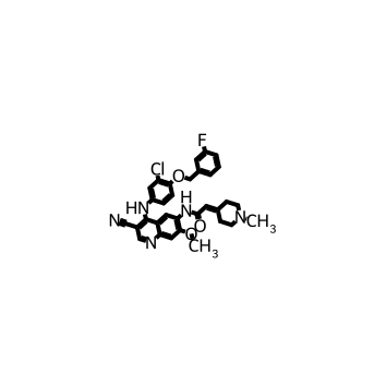 COc1cc2ncc(C#N)c(Nc3ccc(OCc4cccc(F)c4)c(Cl)c3)c2cc1NC(=O)C=C1CCN(C)CC1